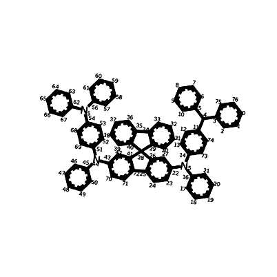 c1ccc(C(c2ccccc2)c2ccc(N(c3ccccc3)c3ccc4c(c3)C3(c5ccccc5-c5ccccc53)c3cc(N(c5ccccc5)c5ccc(N(c6ccccc6)c6ccccc6)cc5)ccc3-4)cc2)cc1